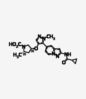 C[C@H]1C[C@H](Oc2cnn(C)c2-c2ccn3nc(NC(=O)C4CC4)cc3c2)CN1C(=O)O